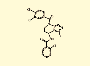 Cn1ncc2c1C(NC(=O)c1ccccc1Cl)CCN2C(=O)c1ccc(Cl)c(Cl)c1